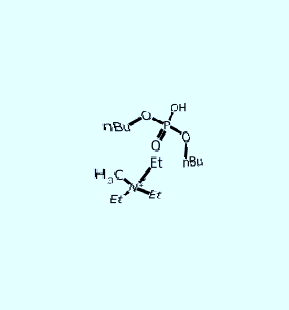 CCCCOP(=O)(O)OCCCC.CC[N+](C)(CC)CC